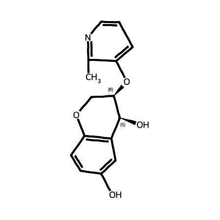 Cc1ncccc1O[C@@H]1COc2ccc(O)cc2[C@@H]1O